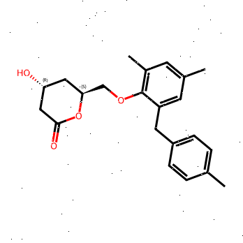 Cc1ccc(Cc2cc(C)cc(C)c2OC[C@@H]2C[C@@H](O)CC(=O)O2)cc1